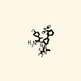 Cc1nc(C(F)(F)F)cn1-c1ccc(-c2cccc(S(C)(=O)=O)c2)cc1N(N)/C(=C\N)C(C)c1ccc(Cl)cc1